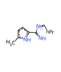 CCC/C=N\C(=N)c1ccc(C)[nH]1